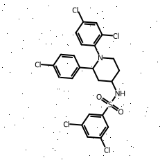 O=S(=O)(NC1CCN(c2ccc(Cl)cc2Cl)C(c2ccc(Cl)cc2)C1)c1cc(Cl)cc(Cl)c1